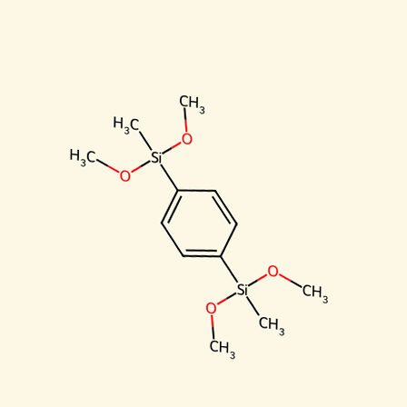 CO[Si](C)(OC)c1ccc([Si](C)(OC)OC)cc1